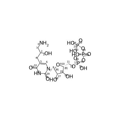 NCC(O)Cc1cn([C@@H]2O[C@H](COP(=O)(O)OP(=O)(O)OP(=O)(O)O)C(O)C2O)c(=O)[nH]c1=O